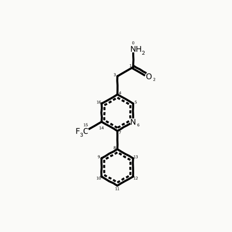 NC(=O)Cc1cnc(-c2ccccc2)c(C(F)(F)F)c1